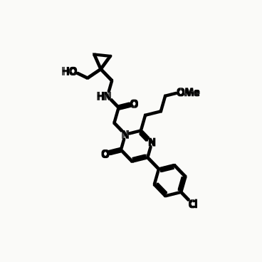 COCCCc1nc(-c2ccc(Cl)cc2)cc(=O)n1CC(=O)NCC1(CO)CC1